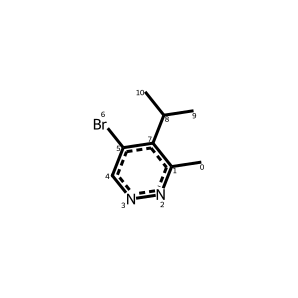 Cc1nncc(Br)c1C(C)C